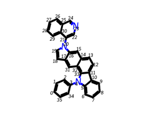 c1ccc(-n2c3ccccc3c3ccc4cc5c(ccn5-c5cncc6ccccc56)cc4c32)cc1